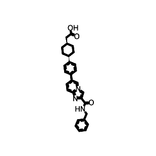 O=C(O)C[C@H]1CC[C@H](c2ccc(-c3ccc4nc(C(=O)NCc5ccccc5)cn4c3)cc2)CC1